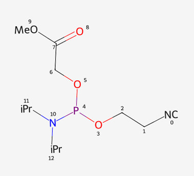 [C-]#[N+]CCOP(OCC(=O)OC)N(C(C)C)C(C)C